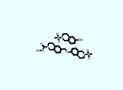 CC(C)OC(=O)N1CCc2cc(COc3ccc4c(c3)CCN(S(C)(=O)=O)C4)ccc2C1.CS(=O)(=O)N1CCc2cc(O)ccc2C1